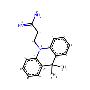 CC1(C)c2ccccc2N(CCC(=N)N)c2ccccc21